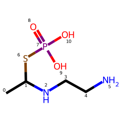 CC(NCCN)SP(=O)(O)O